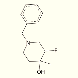 CC1(O)CCN(Cc2ccccc2)CC1F